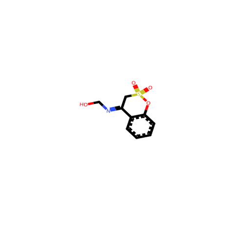 O=S1(=O)C/C(=N\CO)c2ccccc2O1